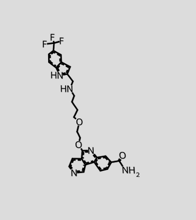 NC(=O)c1ccc2c(c1)nc(OCCOCCCCNCc1cc3cc(C(F)(F)F)ccc3[nH]1)c1ccncc12